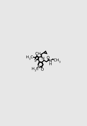 CCNC(=O)CC1N=C(CC2CC2)c2c(sc(C)c2C)-c2cn(C)c(=O)cc21